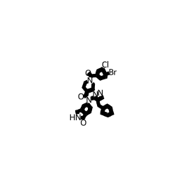 O=C1NCc2cc(-n3c(=O)c4c(n5ncc(Cc6ccccc6)c35)CN(C(=O)c3ccc(Br)c(Cl)c3)CC4)ccc21